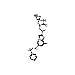 Cc1cc(OC[C@H](C)c2ccccc2)cn2nc(C(C)CN3CC4(CNC4)NC3=O)nc12